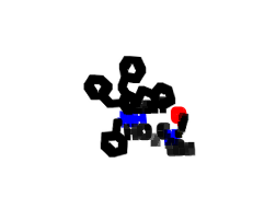 CC(C)(C)N(C[C@H]1CO1)C(=O)O.c1ccc(CN[C]2=C(Cc3ccccc3)C(Cc3ccccc3)=[C](Cc3ccccc3)[GaH]2)cc1